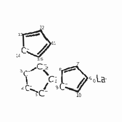 [La].[cH-]1[cH-][cH-][cH-][cH-]1.c1cc[cH-]c1.c1cc[cH-]c1